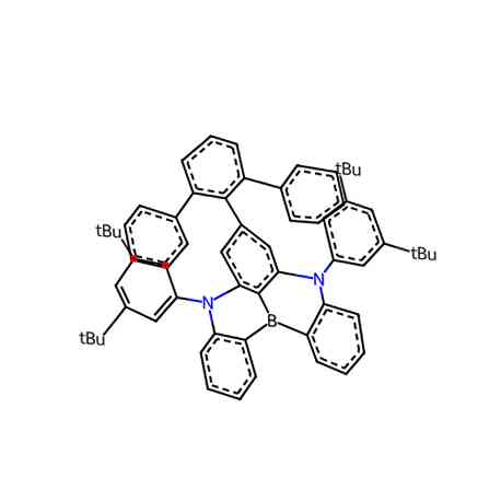 CC(C)(C)C1=CC(C(C)(C)C)CC(N2c3ccccc3B3c4ccccc4N(c4cc(C(C)(C)C)cc(C(C)(C)C)c4)c4cc(-c5c(-c6ccccc6)cccc5-c5ccccc5)cc2c43)=C1